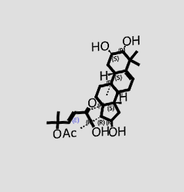 CC(=O)OC(C)(C)/C=C/C(=O)[C@](C)(O)[C@H]1[C@H](O)C[C@@]2(C)[C@@H]3CC=C4[C@@H](C[C@H](O)[C@H](O)C4(C)C)[C@]3(C)CC[C@]12C